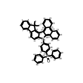 CC1(C)c2ccccc2-c2ccc3c(c21)c1c2ccccc2c2ccccc2c1n3-c1ccc(P(=O)(c2ccccc2)c2ccccc2)cc1